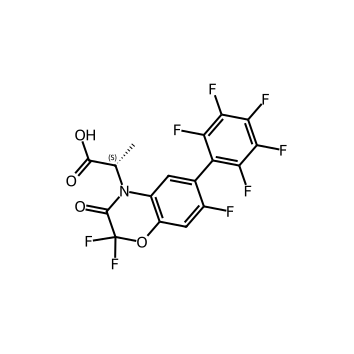 C[C@@H](C(=O)O)N1C(=O)C(F)(F)Oc2cc(F)c(-c3c(F)c(F)c(F)c(F)c3F)cc21